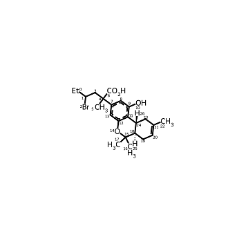 CCC(Br)CC(C)(C(=O)O)c1cc(O)c2c(c1)OC(C)(C)[C@@H]1CC=C(C)C[C@@H]21